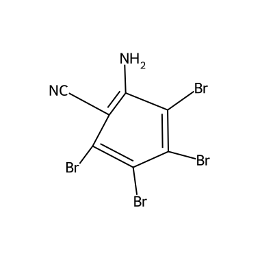 N#Cc1c(N)c(Br)c(Br)c(Br)c1Br